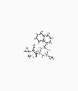 C[C@H]1C[C@@H](NC(=O)C2(N)CC2)CN(c2ccnc3nccnc23)C1